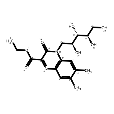 CCOC(=O)c1nc2cc(C)c(C)cc2n(C[C@H](O)[C@H](O)[C@H](O)CO)c1=O